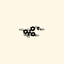 [2H]c1cc(O)cc2c1C(C([2H])([2H])[2H])=C(c1ccc(O)cc1)C(c1ccc(OC3CN(CCC)C3)cc1)O2